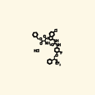 Cl.NC(C(=O)OCc1ccccc1)C(=O)n1cc(NC(=O)Nc2ccc(OCC(SC(F)(F)F)c3ccccc3)c(F)c2)c2cc(Cl)ccc21